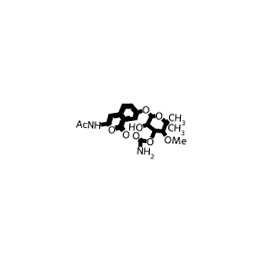 COC1C(OC(N)=O)C(O)C(Oc2ccc3cc(NC(C)=O)oc(=O)c3c2)OC1(C)C